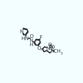 CN1CC2C[C@H](Oc3cc(F)cc(NC(=O)Nc4cccnc4)c3)CN2S1(=O)=O